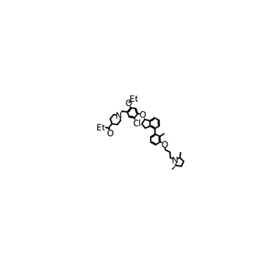 CCOc1cc(O[C@H]2CCc3c(-c4cccc(OCCCN5C(C)CC[C@H]5C)c4C)cccc32)c(Cl)cc1CN1CCC(C(=O)CC)CC1